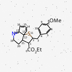 CCOC(=O)C1C(Cc2ccc(OC)cc2)SC23C=CC=CC2=NCCC13